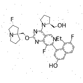 CCc1c(F)ccc2cc(O)cc(-c3ncc4c(N5CCC[C@H]5CO)nc(OC[C@@]56CCCN5C[C@H](F)C6)nc4c3F)c12